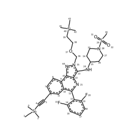 C[Si](C)(C)C#Cc1ccc2c(c1)c(-c1c(F)cccc1F)nc1c(NC3CCN(S(C)(=O)=O)CC3)n(COCC[Si](C)(C)C)nc12